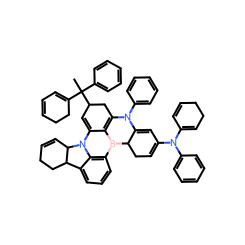 CC(C1=CC=CCC1)(c1ccccc1)C1C=C2C3=C(C1)N(c1ccccc1)C1=CC(N(C4=CCCC=C4)c4ccccc4)=CCC1B3c1cccc3c1N2C1C=CCCC31